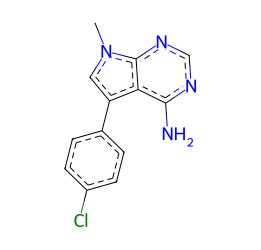 Cn1cc(-c2ccc(Cl)cc2)c2c(N)ncnc21